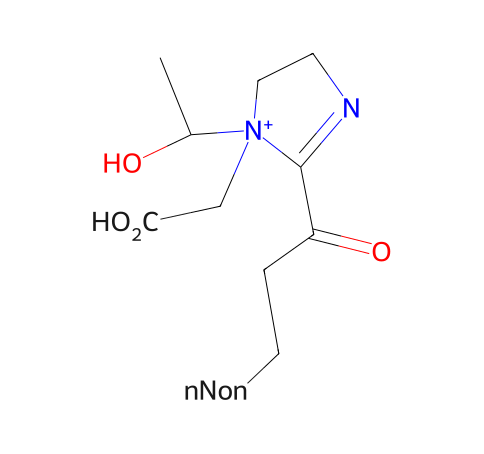 CCCCCCCCCCCC(=O)C1=NCC[N+]1(CC(=O)O)C(C)O